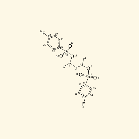 CC(CC(C)OS(=O)(=O)c1ccc(F)cc1)OS(=O)(=O)c1ccc(F)cc1